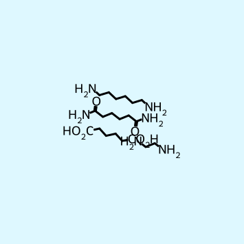 NC(=O)CCCCC(N)=O.NCCCCCCN.NCCN.O=C(O)CCCCC(=O)O